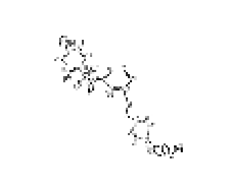 O=C(O)c1ccc(CCc2cccc(NS(=O)(=O)c3ccc(F)cc3F)c2)cc1